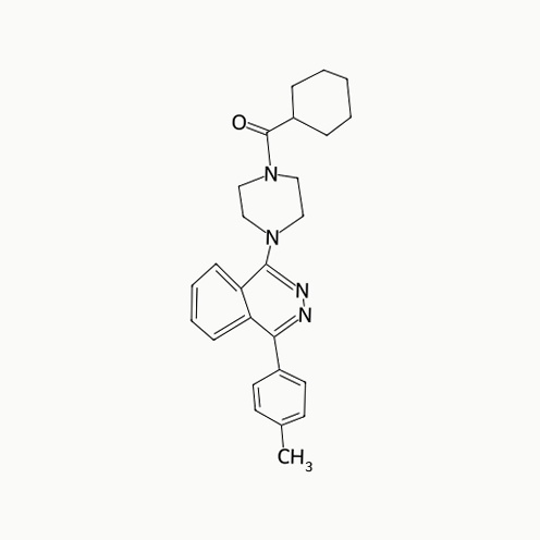 Cc1ccc(-c2nnc(N3CCN(C(=O)C4CCCCC4)CC3)c3ccccc23)cc1